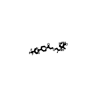 Cc1c(N[C@@H](C)COCCC(=O)N2CCC(c3ncc(C(F)(F)F)cn3)CC2)cn[nH]c1=O